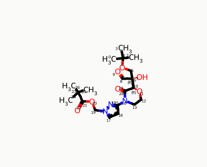 CC(C)(C)OC[C@](O)(C=O)[C@H]1OCCN(c2ccn(COC(=O)C(C)(C)C)n2)C1=O